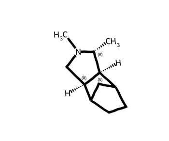 C[C@@H]1[C@H]2C3CCC(C3)[C@H]2CN1C